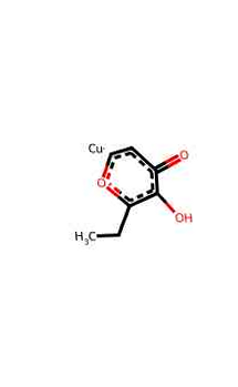 CCc1occc(=O)c1O.[Cu]